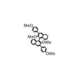 COc1ccc(-c2cc3c(c(-c4c(OC)c(-c5ccc(OC)cc5)cc5ccccc45)c2OC)C=CCC3)cc1